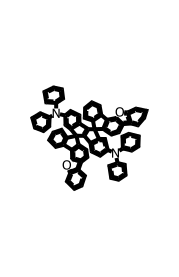 c1ccc(N(c2ccccc2)c2ccc3c(c2)C2(C4=C3C3(c5cc(N(c6ccccc6)c6ccccc6)ccc54)c4ccccc4-c4c3ccc3c4oc4ccccc43)c3ccccc3-c3c2ccc2c3oc3ccccc32)cc1